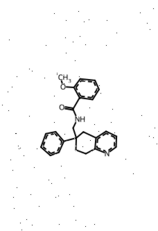 COc1ccccc1C(=O)NCC1(c2ccccc2)CCc2ncccc2C1